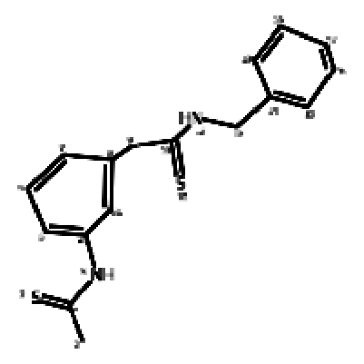 CC(=S)Nc1cccc(CC(=S)NCc2ccccc2)c1